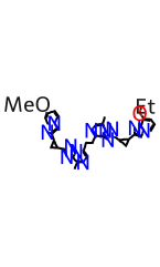 CCOc1cccn2cc(C3CC3c3nc4c(CCc5cnc(C)c6nc(C7CC7c7cn8ccc(OC)cc8n7)nn56)ncc(C)n4n3)nc12